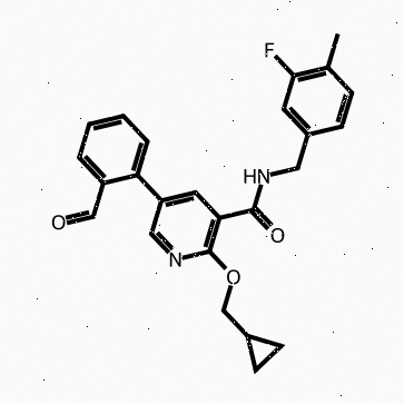 Cc1ccc(CNC(=O)c2cc(-c3ccccc3C=O)cnc2OCC2CC2)cc1F